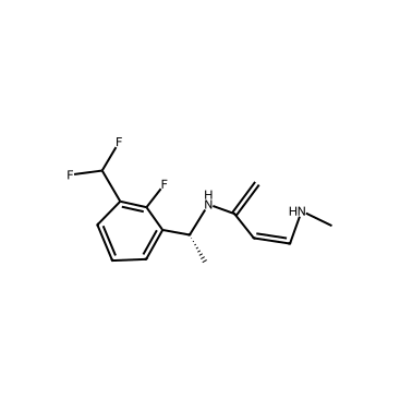 C=C(/C=C\NC)N[C@H](C)c1cccc(C(F)F)c1F